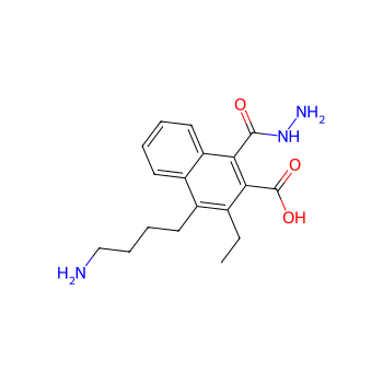 CCc1c(C(=O)O)c(C(=O)NN)c2ccccc2c1CCCCN